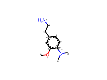 COc1cc(CCN)ccc1N(C)C